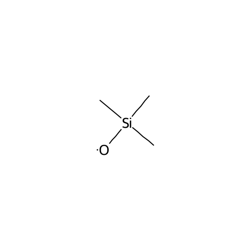 C[Si](C)(C)[O]